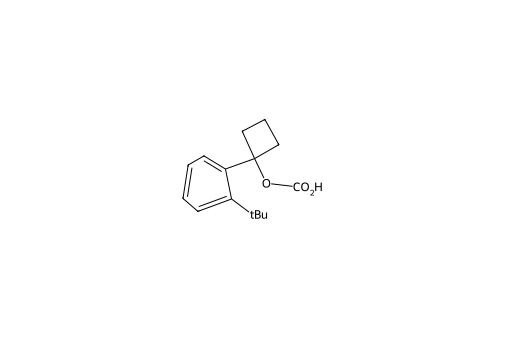 CC(C)(C)c1ccccc1C1(OC(=O)O)CCC1